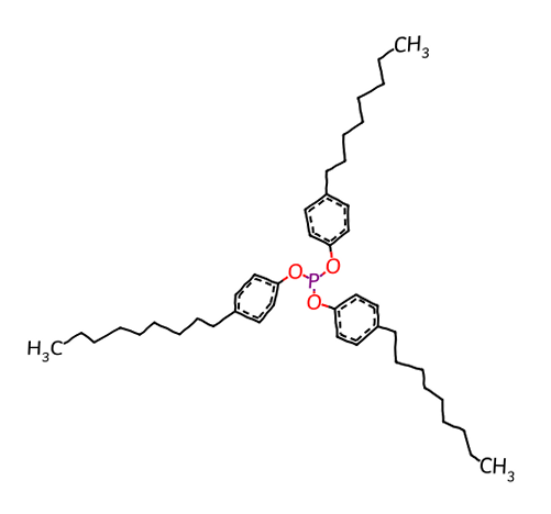 CCCCCCCCCc1ccc(OP(Oc2ccc(CCCCCCCC)cc2)Oc2ccc(CCCCCCCCC)cc2)cc1